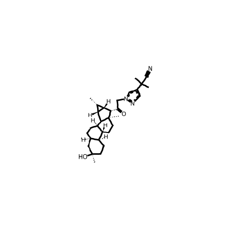 C[C@H]1[C@H]2C3[C@@H]4CC[C@@H]5C[C@](C)(O)CC[C@@H]5[C@H]4CC[C@]3(C)[C@@H](C(=O)Cn3cc(C(C)(C)C#N)cn3)[C@@H]12